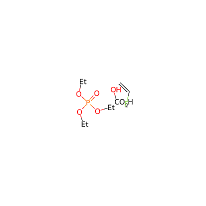 C=CF.CCOP(=O)(OCC)OCC.O=C(O)O